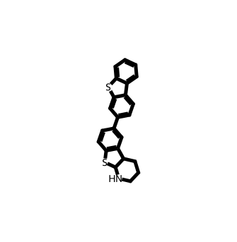 c1ccc2c(c1)sc1cc(-c3ccc4c(c3)C3CCCNC3S4)ccc12